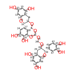 O=C(OCO[C@@H]1Cc2c(O)cc(O)cc2O[C@H]1c1ccc(O)c(O)c1)OCO[C@@H]1Cc2c(O)cc(O)cc2O[C@H]1c1ccc(O)c(O)c1